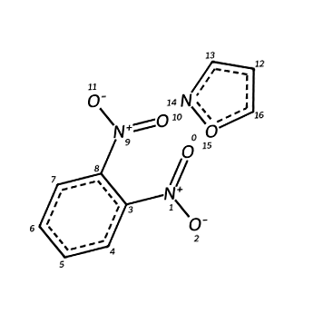 O=[N+]([O-])c1ccccc1[N+](=O)[O-].c1cnoc1